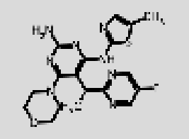 Cc1cnc(Nc2nc(N)nc(N3CCOCC3)c2[C@H](C)c2ncc(F)cn2)s1